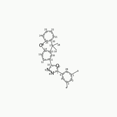 Cc1cc(C)cc(-c2nnc(-c3ccc4c(c3)C(C)(C)c3ccccc3O4)o2)c1